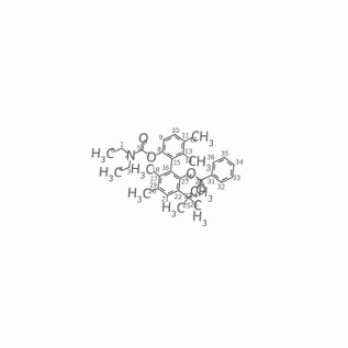 CCN(CC)C(=O)Oc1ccc(C)c(C)c1-c1c(C)c(C)cc(C(C)(C)C)c1OC(=O)c1ccccc1